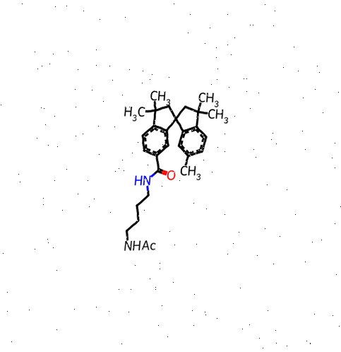 CC(=O)NCCCCNC(=O)c1ccc2c(c1)C1(CC(C)(C)c3ccc(C)cc31)CC2(C)C